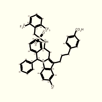 O=C(O)c1ccc(CCCc2c(CCNS(=O)(=O)Cc3c(C(F)(F)F)cccc3C(F)(F)F)n(C(c3ccccc3)c3ccccc3)c3ccc(Cl)cc23)cc1